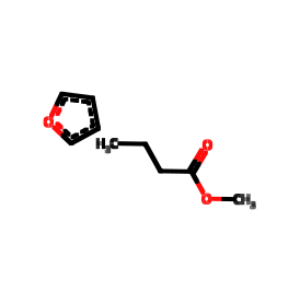 CCCC(=O)OC.c1ccoc1